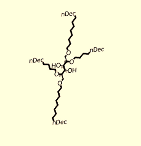 CCCCCCCCCCCCCCCCCCOC[C@@H](OCCCCCCCCCCCCCC)[C@@H](O)[C@H](O)[C@@H](COCCCCCCCCCCCCCCCCCC)OCCCCCCCCCCCCCC